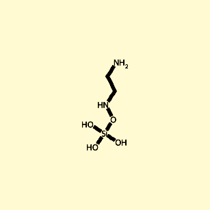 NCCNO[Si](O)(O)O